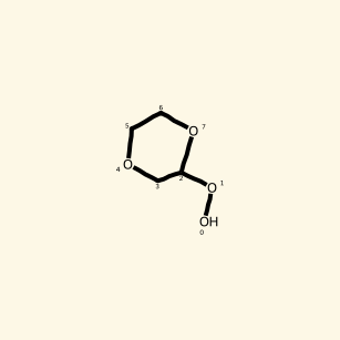 OOC1COCCO1